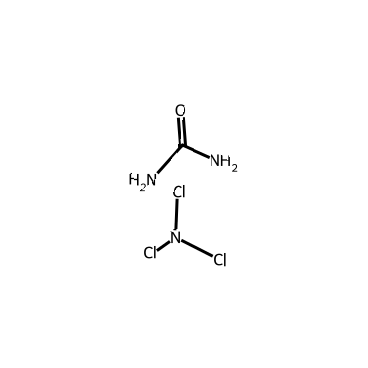 ClN(Cl)Cl.NC(N)=O